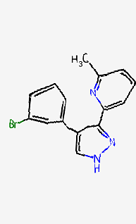 Cc1cccc(-c2n[nH]cc2-c2cccc(Br)c2)n1